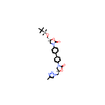 Cc1cn(C[C@H]2CN(c3ccc(-c4ccc(N5C[C@H](CO[Si](C)(C)C(C)(C)C)OC5=O)cc4)cc3)C(=O)O2)nn1